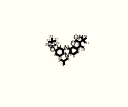 CC(C)CN(c1ccc(C(C)C(C(=O)O)C(C)(C)C)cc1N)[C@H]1CC[C@H](O[Si](C)(C)C(C)(C)C)CC1